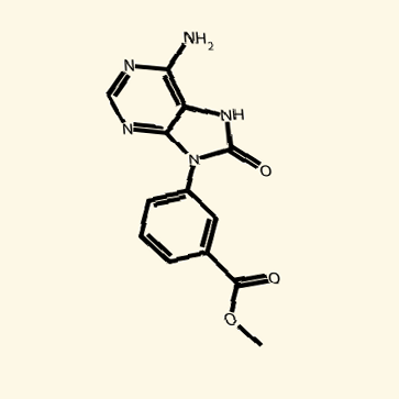 COC(=O)c1cccc(-n2c(=O)[nH]c3c(N)ncnc32)c1